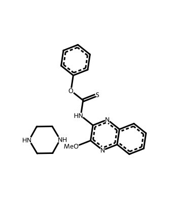 C1CNCCN1.COc1nc2ccccc2nc1NC(=S)Oc1ccccc1